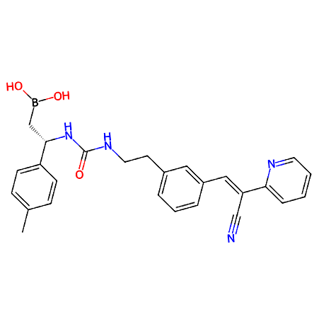 Cc1ccc([C@H](CB(O)O)NC(=O)NCCc2cccc(C=C(C#N)c3ccccn3)c2)cc1